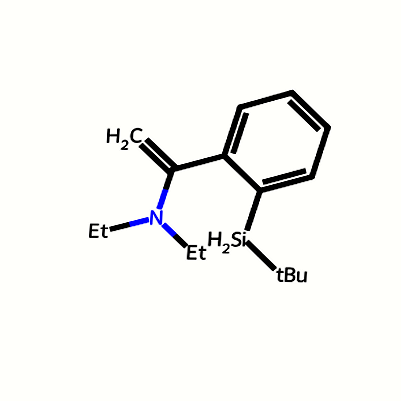 C=C(c1ccccc1[SiH2]C(C)(C)C)N(CC)CC